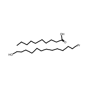 CC(C)CCCCCCCCCCCCO.CCCCCCCCCC(=O)O